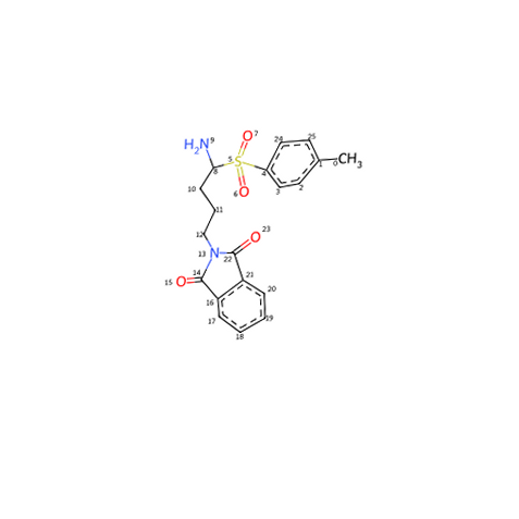 Cc1ccc(S(=O)(=O)C(N)CCCN2C(=O)c3ccccc3C2=O)cc1